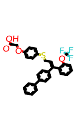 O=C(O)COc1ccc(SC/C=C(\c2ccc(-c3ccccc3)cc2)c2ccccc2OC(F)(F)F)cc1